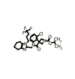 CC(C)OC(=O)N1CC2(C1)C(=O)N(Cc1nc3c(n1CCCC(F)(F)F)CCCC3)c1cccc(Cl)c12